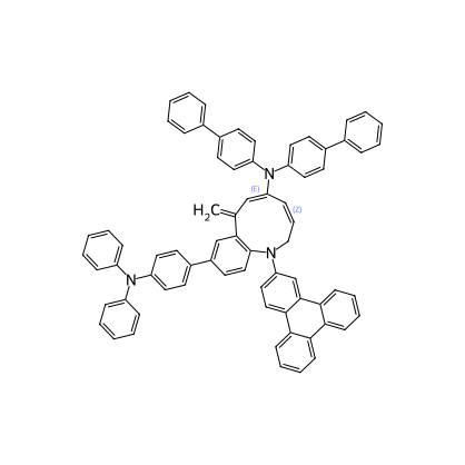 C=C1/C=C(N(c2ccc(-c3ccccc3)cc2)c2ccc(-c3ccccc3)cc2)\C=C/CN(c2ccc3c4ccccc4c4ccccc4c3c2)c2ccc(-c3ccc(N(c4ccccc4)c4ccccc4)cc3)cc21